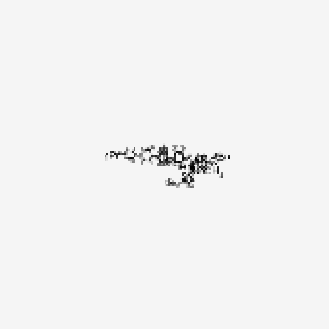 CCCC1CCC(C2CC=C(c3cnc(-c4ccc(C[C@H](NC(=O)c5ccc(C(C)(C)C)s5)C(=O)NC(C)C(=O)OC(C)(C)C)cc4)nc3)CC2)CC1